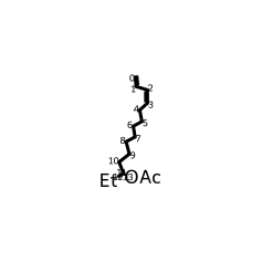 C=C/C=C\CCCCCCCC(CC)OC(C)=O